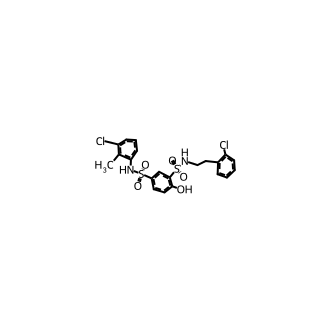 Cc1c(Cl)cccc1NS(=O)(=O)c1ccc(O)c(S(=O)(=O)NCCc2ccccc2Cl)c1